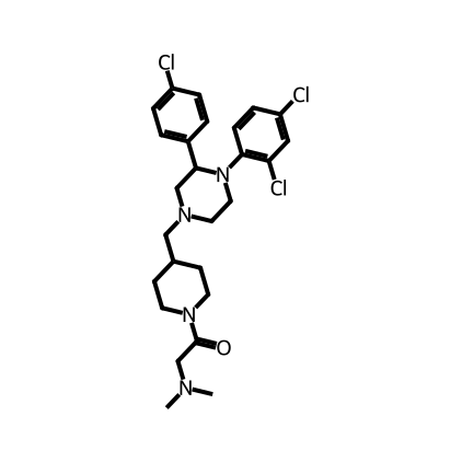 CN(C)CC(=O)N1CCC(CN2CCN(c3ccc(Cl)cc3Cl)C(c3ccc(Cl)cc3)C2)CC1